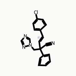 N#CC(/C=C/c1ccc(Cl)cc1)(Cn1cncn1)c1ccccc1